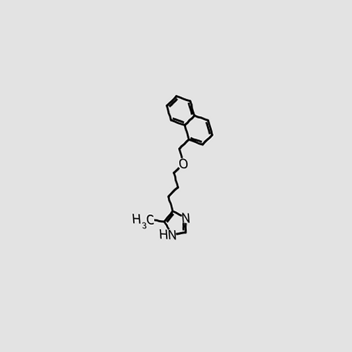 Cc1[nH]cnc1CCCOCc1cccc2ccccc12